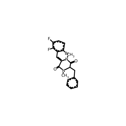 CN1C(=O)C(Cc2ccccc2)N(C)C(=O)/C1=C/c1c(Br)ccc(F)c1F